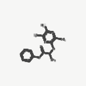 Cc1nc(C)c(OC(C)C(=O)Oc2ccccc2)nc1C